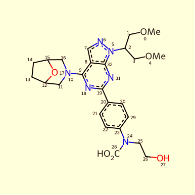 COCC(COC)n1ncc2c(N3CC4CCC(C3)O4)nc(-c3ccc(N(CCO)C(=O)O)cc3)nc21